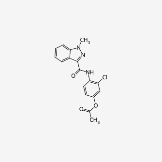 CC(=O)Oc1ccc(NC(=O)c2nn(C)c3ccccc23)c(Cl)c1